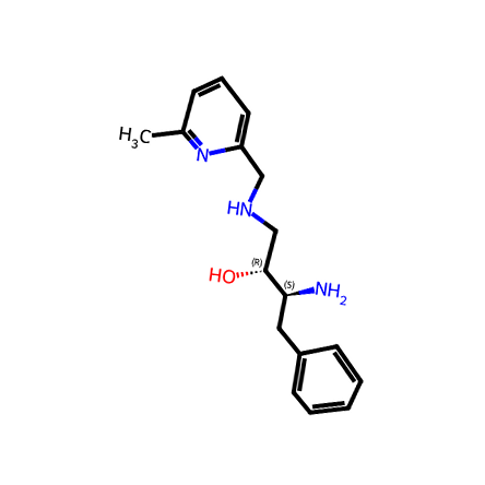 Cc1cccc(CNC[C@@H](O)[C@@H](N)Cc2ccccc2)n1